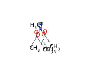 CCCCCCCCCCC(CCCCCCCC)COC(=O)CCN(CCC(=O)OCC(CCCCCCCC)CCCCCCCCCC)CCC1CCCN1C